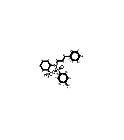 CC1CCCCC1N(CCCc1ccccc1)S(=O)(=O)c1ccc(Cl)cc1